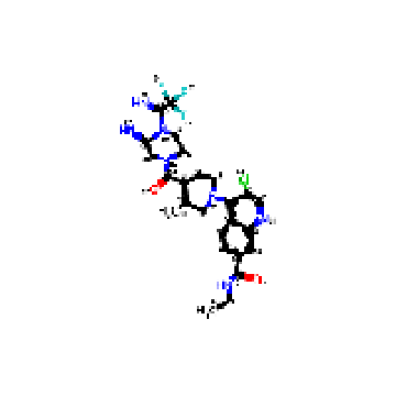 CCNC(=O)c1ccc2c(N3CCC(C(=O)N4CCN(C(=N)C(F)(F)F)C(=N)C4)C(C)C3)c(Cl)cnc2c1